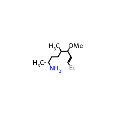 CCC=CC(OC)C(C)CC[C@@H](C)N